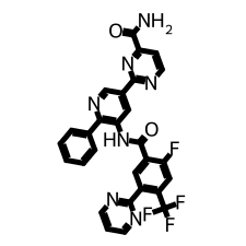 NC(=O)c1ccnc(-c2cnc(-c3ccccc3)c(NC(=O)c3cc(-c4ncccn4)c(C(F)(F)F)cc3F)c2)n1